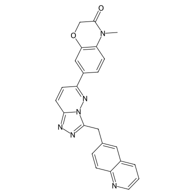 CN1C(=O)COc2cc(-c3ccc4nnc(Cc5ccc6ncccc6c5)n4n3)ccc21